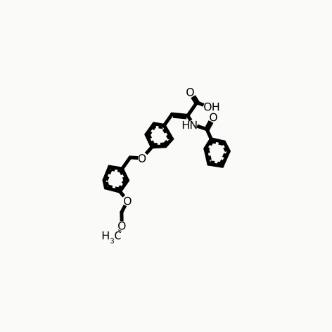 COCOc1cccc(COc2ccc(C=C(NC(=O)c3ccccc3)C(=O)O)cc2)c1